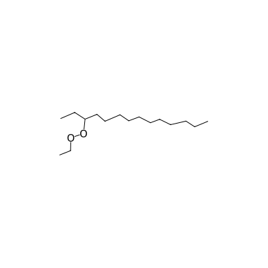 CCCCCCCCCCCC(CC)OOCC